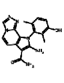 Cc1ccc(O)c(C)c1-n1c(N)c(C(N)=O)c2ccn3cnnc3c21